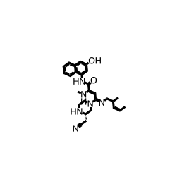 C/C=C\C(C)C/N=C(\C=C(/NC)C(=O)Nc1cc(O)cc2ccccc12)N1CCN[C@@H](CC#N)C1